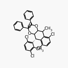 Cc1c(Cl)ccc(Cl)c1[C@H]1c2c(Cl)ccc(Cl)c2C(C)C(OC(=O)c2ccccc2)C1OC(=O)c1ccccc1